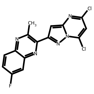 Cc1nc2ccc(F)cc2nc1-c1cc2nc(Cl)cc(Cl)n2n1